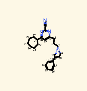 N#Cc1nc(CCCN2CCC(c3ccccc3)C2)cc(C2CCCCCC2)n1